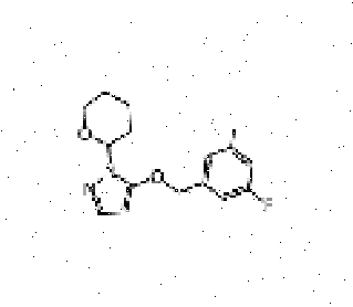 Fc1cc(F)cc(COc2[c]cnn2C2CCCCO2)c1